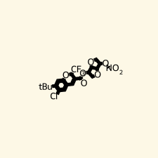 CC(C)(C)c1cc2c(cc1Cl)C=C(C(=O)OC1COC3C(O[N+](=O)[O-])COC13)C(C(F)(F)F)O2